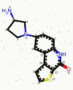 N[C@@H]1CCN(c2ccc3[nH]c(=O)c4sccc4c3c2)C1